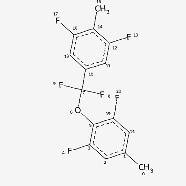 Cc1cc(F)c(OC(F)(F)c2cc(F)c(C)c(F)c2)c(F)c1